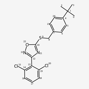 CC(C)(C)c1ccc(CSc2nc(-c3c(Cl)cccc3Cl)no2)cc1